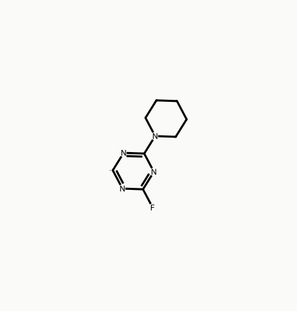 Fc1n[c]nc(N2CCCCC2)n1